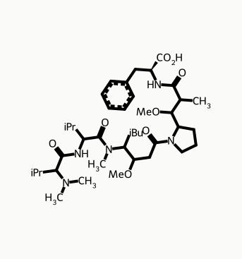 CCC(C)C(C(CC(=O)N1CCCC1C(OC)C(C)C(=O)N[C@@H](Cc1ccccc1)C(=O)O)OC)N(C)C(=O)C(NC(=O)C(C(C)C)N(C)C)C(C)C